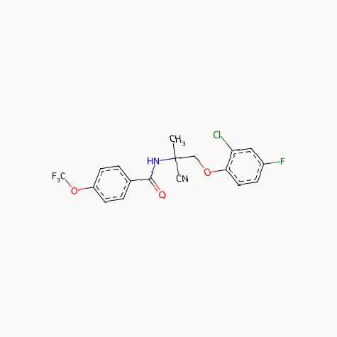 CC(C#N)(COc1ccc(F)cc1Cl)NC(=O)c1ccc(OC(F)(F)F)cc1